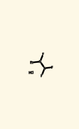 CCN(F)N(F)F.Cl